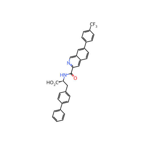 O=C(N[C@@H](Cc1ccc(-c2ccccc2)cc1)C(=O)O)c1cc2ccc(-c3ccc(C(F)(F)F)cc3)cc2cn1